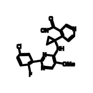 COc1cnc(-c2cc(Cl)ccc2F)nc1NC1(c2ccncc2C(=O)N=O)CC1